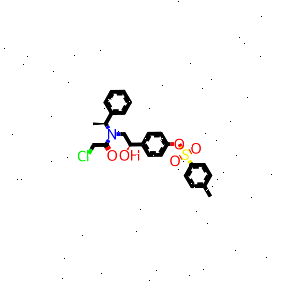 Cc1ccc(S(=O)(=O)Oc2ccc([C@H](O)CN(C(=O)CCl)[C@@H](C)c3ccccc3)cc2)cc1